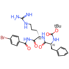 CC(C)(C)OC(=O)N[C@@H](Cc1ccccc1)C(=O)N[C@@H](CCCNC(=N)N)C(=O)NC(=O)c1ccc(Br)cc1